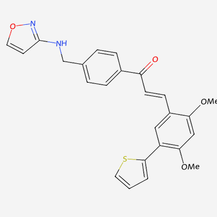 COc1cc(OC)c(-c2cccs2)cc1/C=C/C(=O)c1ccc(CNc2ccon2)cc1